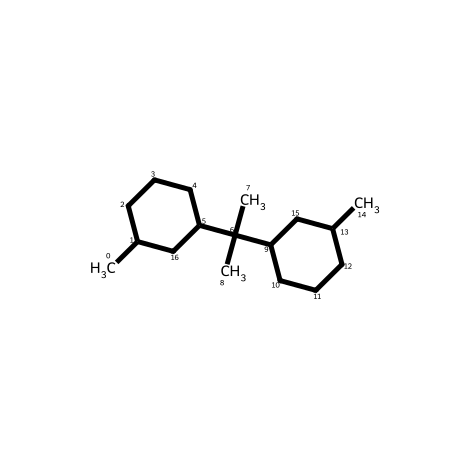 CC1CCCC(C(C)(C)C2CCCC(C)C2)C1